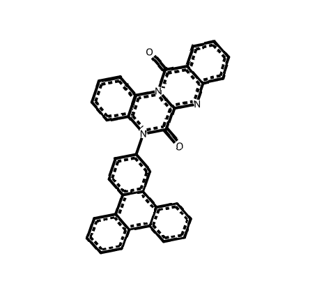 O=c1c2nc3ccccc3c(=O)n2c2ccccc2n1-c1ccc2c3ccccc3c3ccccc3c2c1